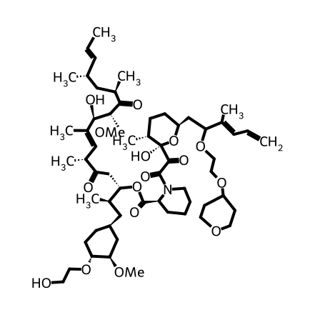 C=C/C=C(\C)C(C[C@@H]1CC[C@@H](C)[C@](O)(C(=O)C(=O)N2CCCC[C@H]2C(=O)O[C@@H](CC(=O)[C@H](C)/C=C(\C)[C@@H](O)[C@@H](OC)C(=O)[C@H](C)C[C@H](C)/C=C/C)[C@H](C)C[C@@H]2CC[C@@H](OCCO)[C@H](OC)C2)O1)OCCOC1CCOCC1